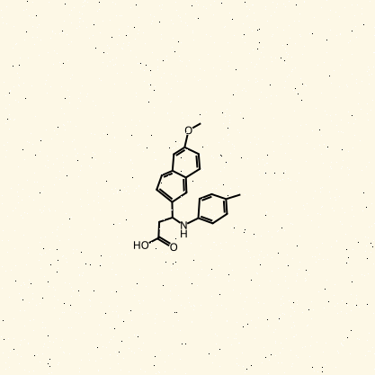 COc1ccc2cc(C(CC(=O)O)Nc3ccc(C)cc3)ccc2c1